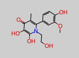 COc1cc(-c2c(C)c(=O)c(O)c(O)n2CCO)ccc1O